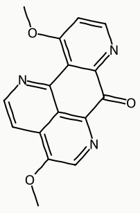 COc1ccnc2c1-c1nccc3c(OC)cnc(c13)C2=O